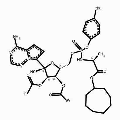 CC(C)C(=O)O[C@H]1[C@@H](OC(=O)C(C)C)[C@](C#N)(c2ccc3c(N)ncnn23)O[C@@H]1COP(=O)(N[C@@H](C)C(=O)OC1CCCCCCC1)Oc1ccc(C(C)(C)C)cc1